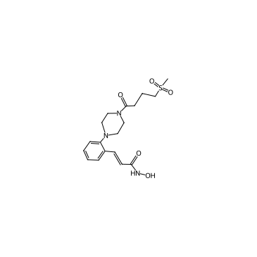 CS(=O)(=O)CCCC(=O)N1CCN(c2ccccc2C=CC(=O)NO)CC1